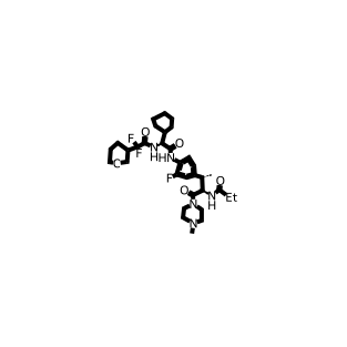 CCC(=O)N[C@@H](C(=O)N1CCN(C)CC1)[C@@H](C)c1ccc(NC(=O)[C@@H](NC(=O)C(F)(F)C2CCCCC2)C2CCCCC2)c(F)c1